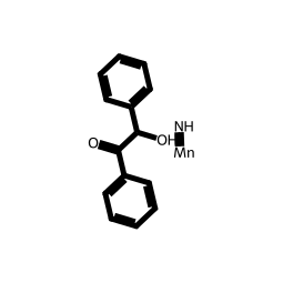 O=C(c1ccccc1)C(O)c1ccccc1.[NH]=[Mn]